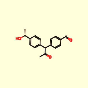 CC(=O)C(c1ccc([C]=O)cc1)c1ccc([C@@H](C)O)cc1